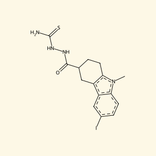 Cn1c2c(c3cc(I)ccc31)CC(C(=O)NNC(N)=S)CC2